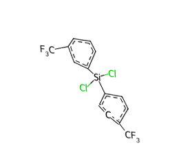 FC(F)(F)c1ccc([Si](Cl)(Cl)c2cccc(C(F)(F)F)c2)cc1